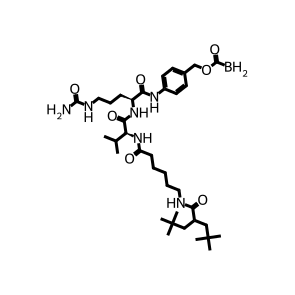 BC(=O)OCc1ccc(NC(=O)[C@H](CCCNC(N)=O)NC(=O)[C@@H](NC(=O)CCCCCNC(=O)C(CC(C)(C)C)CC(C)(C)C)C(C)C)cc1